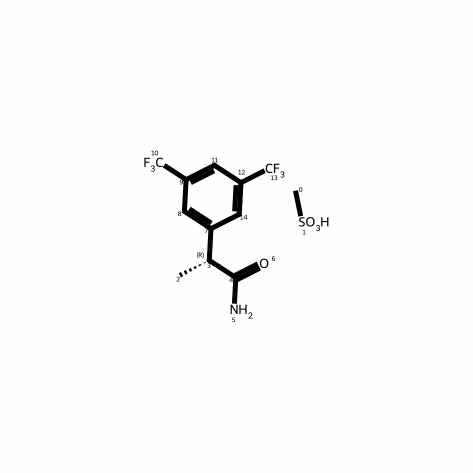 CS(=O)(=O)O.C[C@@H](C(N)=O)c1cc(C(F)(F)F)cc(C(F)(F)F)c1